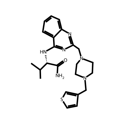 CC(C)[C@H](Nc1nc(CN2CCN(Cc3ccsc3)CC2)nc2ccccc12)C(N)=O